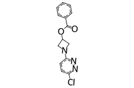 O=C(OC1CN(c2ccc(Cl)nn2)C1)c1ccccc1